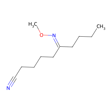 CCCCC(CCCCC#N)=NOC